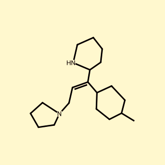 CC1CCC(/C(=C\CN2CCCC2)C2CCCCN2)CC1